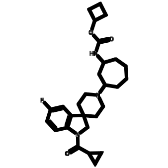 O=C(NC1CCCCC(N2CCC3(CC2)CN(C(=O)C2CC2)c2ccc(F)cc23)C1)OC1CCC1